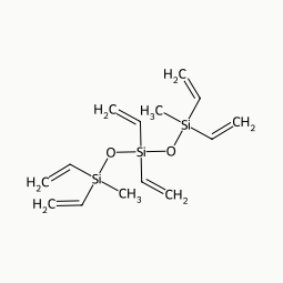 C=C[Si](C)(C=C)O[Si](C=C)(C=C)O[Si](C)(C=C)C=C